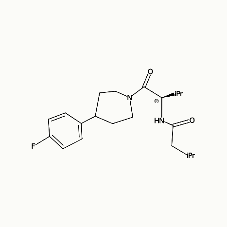 CC(C)CC(=O)N[C@@H](C(=O)N1CCC(c2ccc(F)cc2)CC1)C(C)C